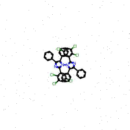 Clc1cc(Cl)c(Cl)c(-c2nc(-c3ccccc3)c(-c3ccccc3)n2-n2c(-c3cc(Cl)cc(Cl)c3Cl)nc(-c3ccccc3)c2-c2ccccc2)c1